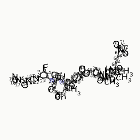 C/C(=C\c1cc(F)cc(N2CCN(C(=O)Cn3cccn3)CC2)c1)[C@H]1OC(=O)C[C@H](O)CC[C@H](C)[C@@H](OC(=O)N2CCN(C(=O)OCc3ccc(NC(=O)[C@H](C)NC(=O)[C@@H](NC(=O)CCCCCN4C(=O)C=CC4=O)C(C)C)cc3)CC2)/C=C/[C@@H]1C